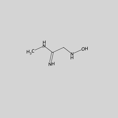 CNC(=N)CNO